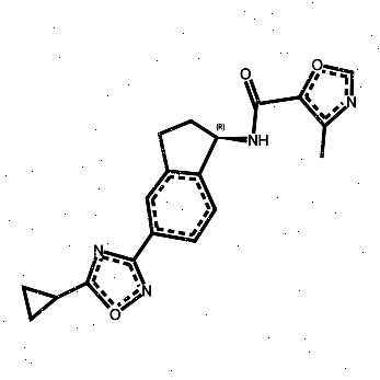 Cc1ncoc1C(=O)N[C@@H]1CCc2cc(-c3noc(C4CC4)n3)ccc21